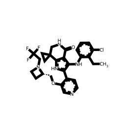 CCc1c(Cl)cccc1Nc1c(-c2ccncc2OC[C@@H]2CCN2CC(F)(F)F)[nH]c2c1C(=O)NCC21CC1